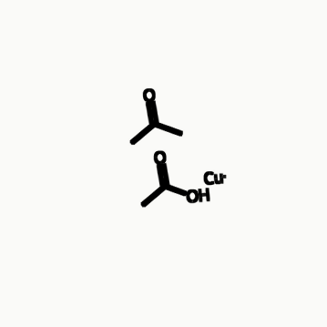 CC(=O)O.CC(C)=O.[Cu]